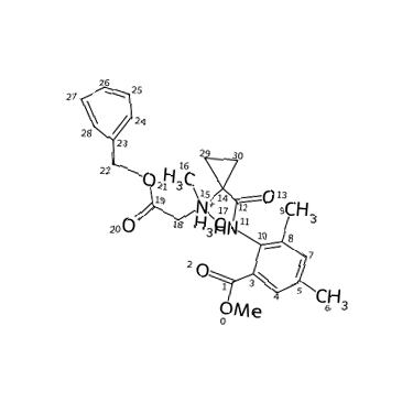 COC(=O)c1cc(C)cc(C)c1NC(=O)C1([N+](C)(C)CC(=O)OCc2ccccc2)CC1